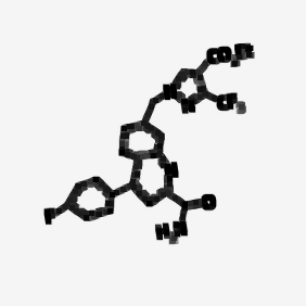 CCOC(=O)c1cn(Cc2ccc3c(-c4ccc(F)cc4)cc(C(N)=O)nc3c2)nc1C(F)(F)F